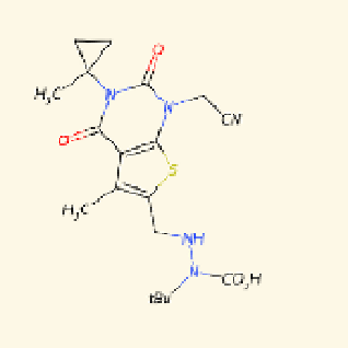 Cc1c(CNN(C(=O)O)C(C)(C)C)sc2c1c(=O)n(C1(C)CC1)c(=O)n2CC#N